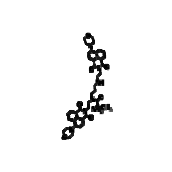 C[C@H](N)C(=O)N(CCCNCCN1C(=O)c2cccc3c(N4CCOCC4)ccc(c23)C1=O)CCN1C(=O)c2cccc3c(N4CCOCC4)ccc(c23)C1=O